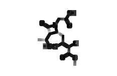 COC(=O)/C(Cl)=C(\Cl)C[C@@H]1[C@H]([C@@H](C)O)C(=O)N1CC(=O)O